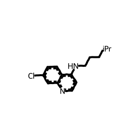 CC(C)CCCNc1ccnc2cc(Cl)ccc12